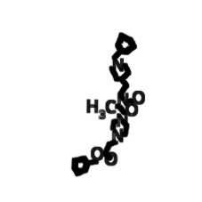 CC1C(N2CCN(CCC(=O)OCc3ccccc3)CC2)OC(=O)N1CCC1CCN(Cc2ccccc2)CC1